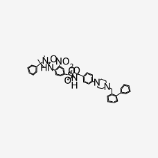 CN(C(=O)Nc1ccc(S(=O)(=O)NC(=O)c2ccc(N3CCN(Cc4ccccc4-c4ccccc4)CC3)cc2)cc1[N+](=O)[O-])C(C)(C)c1ccccc1